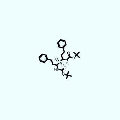 CC(C)(C)OC(=O)NC(CCc1ccccc1)S(=O)(=O)C(CCc1ccccc1)NC(=O)OC(C)(C)C